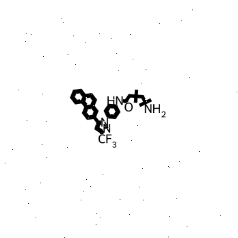 CC(C)(N)CC(C)(C)CC(=O)Nc1ccc(-n2nc(C(F)(F)F)cc2-c2ccc3c(ccc4ccccc43)c2)cc1